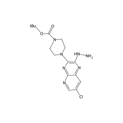 CC(C)(C)OC(=O)N1CCN(c2nc3ncc(Cl)cc3nc2NN)CC1